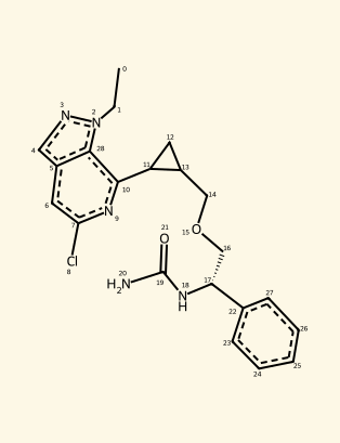 CCn1ncc2cc(Cl)nc(C3CC3COC[C@@H](NC(N)=O)c3ccccc3)c21